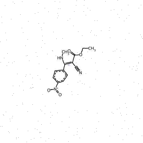 CCOC(=O)/C(C#N)=C(\NC)c1ccc([N+](=O)[O-])cc1